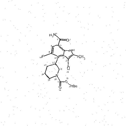 Cc1[nH]c2c(C(N)=O)cc(F)c(C3CCCN(C(=O)OC(C)(C)C)C3)c2c1Cl